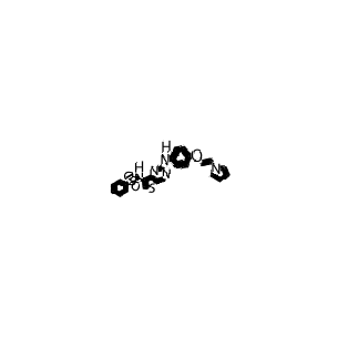 O=S(=O)(Nc1csc2cnc(Nc3ccc(OCCN4CCCC4)cc3)nc12)c1ccccc1